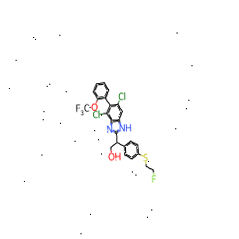 OCC(c1ccc(SCCF)cc1)c1nc2c(Cl)c(-c3ccccc3OC(F)(F)F)c(Cl)cc2[nH]1